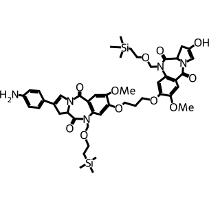 COc1cc2c(cc1OCCCOc1cc3c(cc1OC)C(=O)N1C=C(c4ccc(N)cc4)CC1C(=O)N3COCC[Si](C)(C)C)N(COCC[Si](C)(C)C)C(=O)C1CC(O)=CN1C2=O